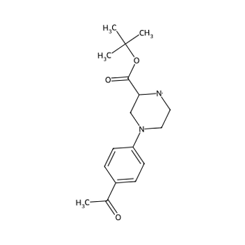 CC(=O)c1ccc(N2CC[N]C(C(=O)OC(C)(C)C)C2)cc1